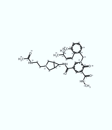 CNC(=O)c1cc(C(=O)NC2C3CN(CCNC(C)=O)CC32)cn(Cc2cccc(C)c2/C=C\C(C)C)c1=O